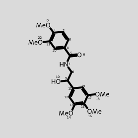 COc1ccc(C(=O)NCC(O)c2cc(OC)c(OC)c(OC)c2)cc1OC